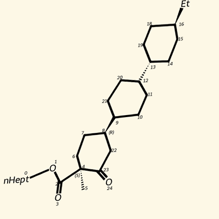 CCCCCCCOC(=O)[C@@]1(C)CC[C@@H](C2CCC([C@H]3CC[C@H](CC)CC3)CC2)CC1=O